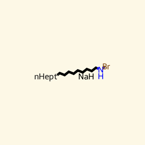 CCCCCCCCCCCCCCCCNBr.[NaH]